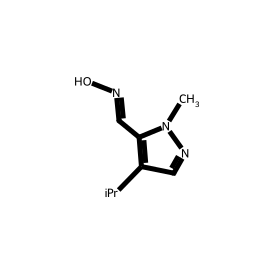 CC(C)c1cnn(C)c1/C=N/O